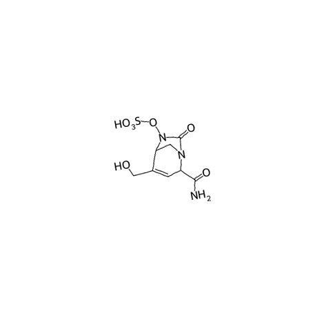 NC(=O)C1C=C(CO)C2CN1C(=O)N2OS(=O)(=O)O